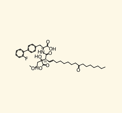 CCCCCCCC(=O)CCCCCCC=C[C@H](C(=O)N[C@@H](Cc1ccc(-c2ccccc2F)cc1)C(=O)O)[C@@](O)(CCOC)C(=O)O